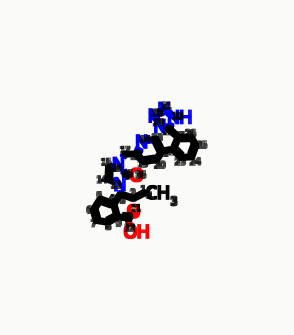 CCCC(c1ccccc1C(=O)O)n1ccn(Cc2ccc(-c3ccccc3-c3nnn[nH]3)cn2)c1=O